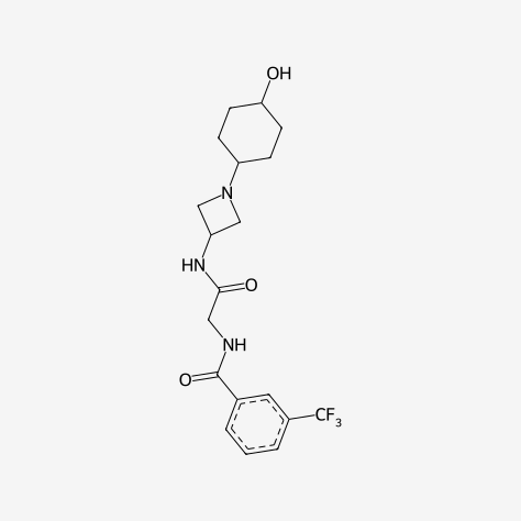 O=C(CNC(=O)c1cccc(C(F)(F)F)c1)NC1CN(C2CCC(O)CC2)C1